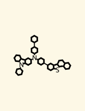 c1ccc(-c2ccc(N(c3ccc(-c4ccc5sc6c7ccccc7ccc6c5c4)cc3)c3ccc4c(c3)c3ccccc3n4-c3ccccc3)cc2)cc1